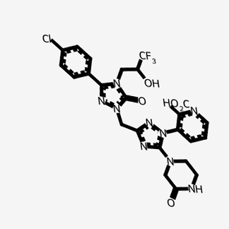 O=C1CN(c2nc(Cn3nc(-c4ccc(Cl)cc4)n(CC(O)C(F)(F)F)c3=O)nn2-c2cccnc2C(=O)O)CCN1